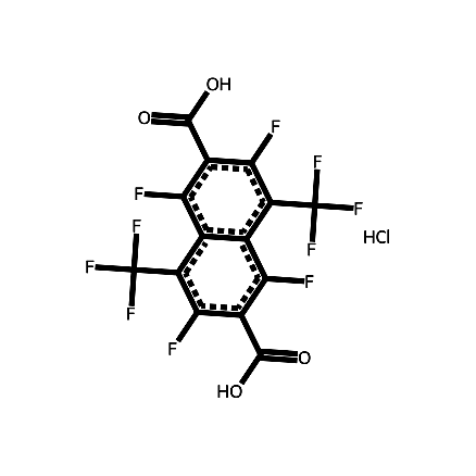 Cl.O=C(O)c1c(F)c(C(F)(F)F)c2c(F)c(C(=O)O)c(F)c(C(F)(F)F)c2c1F